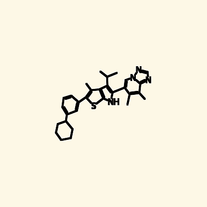 Cc1c(-c2[nH]c3sc(-c4cccc(C5CCCCC5)c4)c(C)c3c2C(C)C)cn2ncnc2c1C